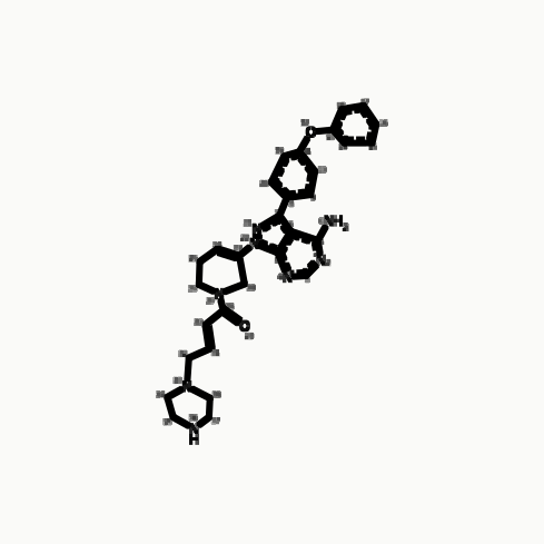 Nc1ncnc2c1c(-c1ccc(Oc3ccccc3)cc1)nn2C1=CCCN(C(=O)/C=C/CN2CCNCC2)C1